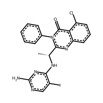 C[C@@H](Nc1nc(N)ncc1I)c1nc2cccc(Cl)c2c(=O)n1-c1ccccc1